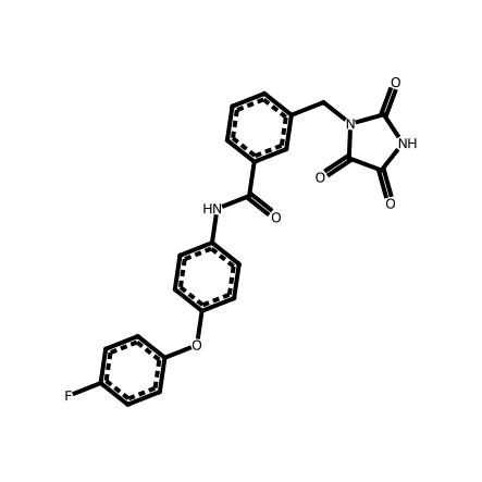 O=C1NC(=O)N(Cc2cccc(C(=O)Nc3ccc(Oc4ccc(F)cc4)cc3)c2)C1=O